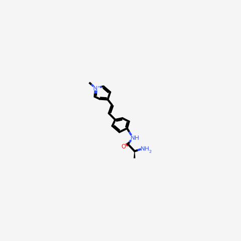 C[C@H](N)C(=O)Nc1ccc(C=Cc2cc[n+](C)cc2)cc1